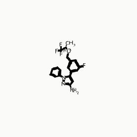 C[C@@H](OCc1cc(F)cc(-c2cc(N)nn2-c2ccccc2)c1)C(F)(F)F